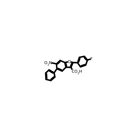 O=C(O)c1c(-c2ccc(F)cc2)oc2cc([N+](=O)[O-])c(-c3ccccc3)cc12